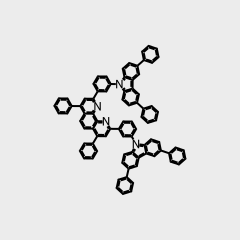 c1ccc(-c2ccc3c(c2)c2cc(-c4ccccc4)ccc2n3-c2cccc(-c3cc(-c4ccccc4)c4ccc5c(-c6ccccc6)cc(-c6cccc(-n7c8ccc(-c9ccccc9)cc8c8cc(-c9ccccc9)ccc87)c6)nc5c4n3)c2)cc1